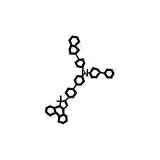 CC1(C)C(c2ccc(-c3ccc(N(c4ccc(-c5ccccc5)cc4)c4ccc(-c5ccc6ccccc6c5)cc4)cc3)cc2)=Cc2c1c1ccccc1c1ccccc21